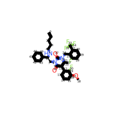 C=CCCCN[C@@H](Cn1c(=O)c(-c2cccc(OC)c2F)c(C)n(Cc2c(F)cccc2C(F)(F)F)c1=O)c1ccccc1